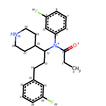 CCC(=O)N(c1cccc(F)c1)C(CCc1cccc(F)c1)C1CCNCC1